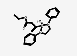 C=C(CC(=O)OCC)[P]1(O)N(c2ccccc2)CCN1c1ccccc1